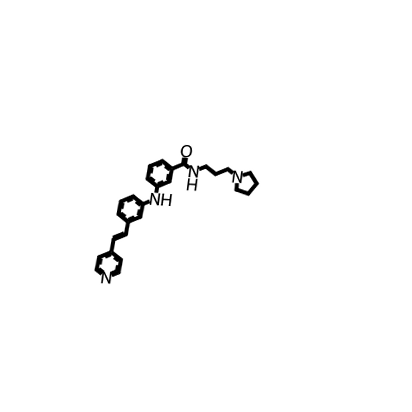 O=C(NCCCN1CCCC1)c1cccc(Nc2cccc(/C=C/c3ccncc3)c2)c1